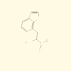 CCN(CC)C(O)Cc1cccc2ccoc12